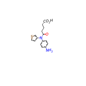 Nc1ccc(N(C(=O)CCCC(=O)O)c2ccsc2)cc1